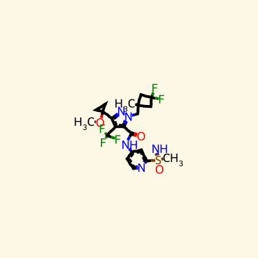 COC1(c2nn(CC3(C)CC(F)(F)C3)c(C(=O)Nc3ccnc(S(C)(=N)=O)c3)c2C(F)(F)F)CC1